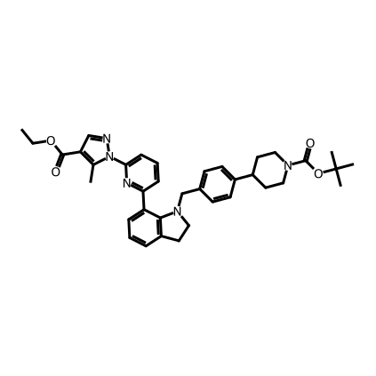 CCOC(=O)c1cnn(-c2cccc(-c3cccc4c3N(Cc3ccc(C5CCN(C(=O)OC(C)(C)C)CC5)cc3)CC4)n2)c1C